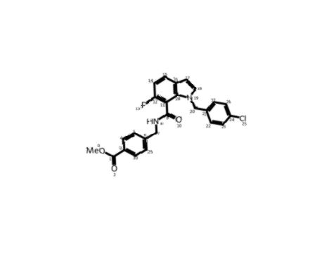 COC(=O)c1ccc(CNC(=O)c2c(F)ccc3ccn(Cc4ccc(Cl)cc4)c23)cc1